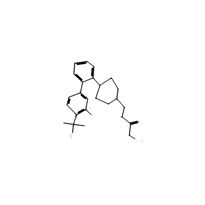 C=C(CC)CCC1CCC(c2ccccc2-c2ccc(C(F)(F)F)c(F)c2)CC1